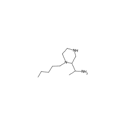 CCCCCN1CCNCC1C(C)N